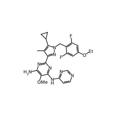 CCOc1cc(F)c(Cn2nc(-c3nc(N)c(OC)c(Nc4ccncn4)n3)c(C)c2C2CC2)c(F)c1